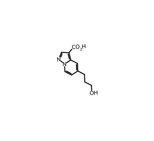 O=C(O)c1cnn2ccc(CCCO)cc12